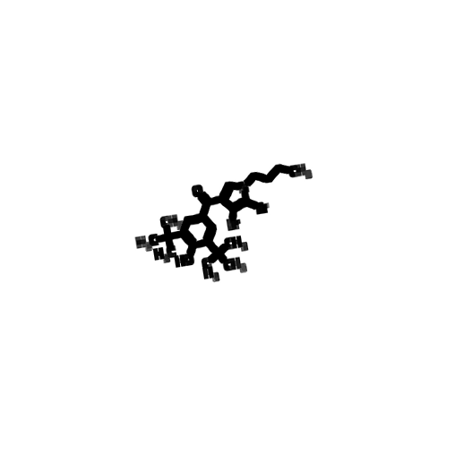 CCCCn1cc(C(=O)c2cc(C(C)(C)C)c(O)c(C(C)(C)C)c2)c(Br)c1Br